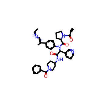 C#CC(=O)N1CCCC1C(=O)N(c1ccc(/C(C)=C/N=C\C)cc1)C(C(=O)NC1CCN(C(=O)c2ccccc2)CC1)c1cccnc1